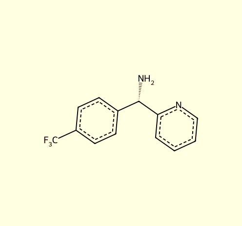 N[C@@H](c1ccc(C(F)(F)F)cc1)c1ccccn1